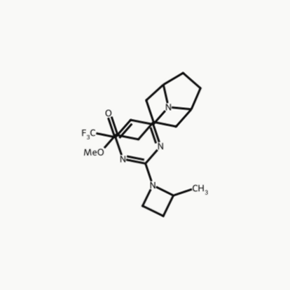 COC(=O)CC1CC2CCC(C1)N2c1cc(C(F)(F)F)nc(N2CCC2C)n1